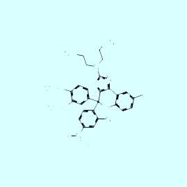 CCN(CC)c1ccc(C2(c3ccc(OC)c(OC)c3)Oc3ccc(C)cc3-c3nc(N(CCC#N)CCC#N)sc32)c([N+](=O)[O-])c1